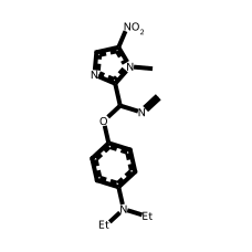 C=NC(Oc1ccc(N(CC)CC)cc1)c1ncc([N+](=O)[O-])n1C